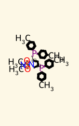 Cc1ccc(P(C[C@@H]2C[C@H](P(c3ccc(C)cc3)c3ccc(C)cc3)CN2S(=O)(=O)N(C)C)c2ccc(C)cc2)cc1